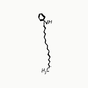 C[CH]CCCCCCCCCCCCCCCNc1ccccc1